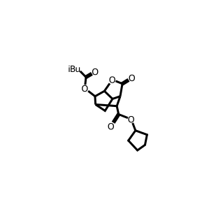 CCC(C)C(=O)OC1C2CC3C1OC(=O)C3C2C(=O)OC1CCCC1